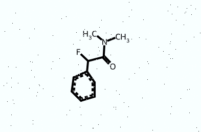 CN(C)C(=O)C(F)c1ccccc1